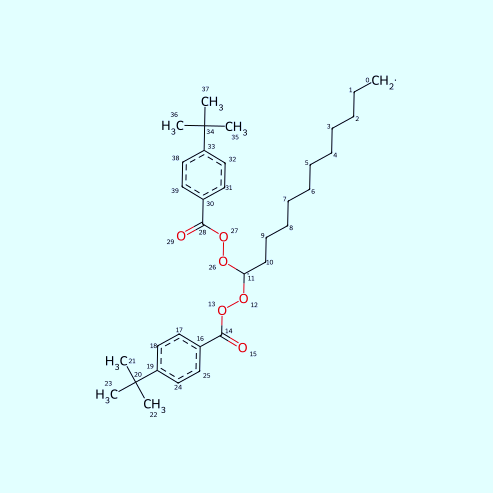 [CH2]CCCCCCCCCC[C](OOC(=O)c1ccc(C(C)(C)C)cc1)OOC(=O)c1ccc(C(C)(C)C)cc1